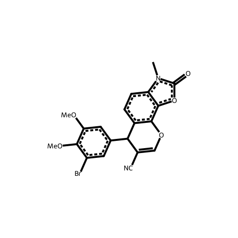 COc1cc(C2C(C#N)=COc3c2ccc2c3oc(=O)n2C)cc(Br)c1OC